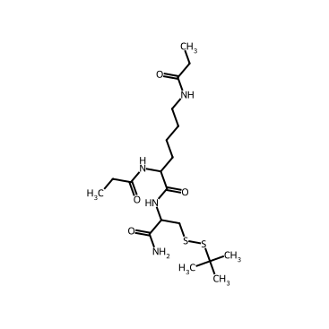 CCC(=O)NCCCCC(NC(=O)CC)C(=O)NC(CSSC(C)(C)C)C(N)=O